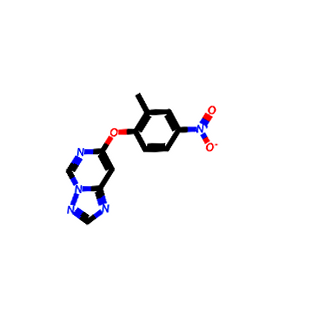 Cc1cc([N+](=O)[O-])ccc1Oc1cc2ncnn2cn1